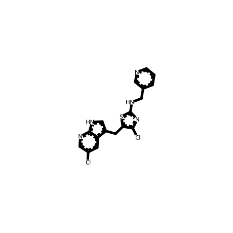 Clc1cnc2[nH]cc(Cc3sc(NCc4cccnc4)nc3Cl)c2c1